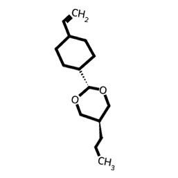 C=CC1CCC([C@H]2OC[C@H](CCC)CO2)CC1